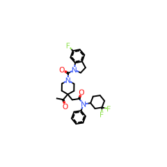 CC(=O)C1(CC(=O)N(c2ccccc2)C2CCCC(F)(F)C2)CCN(C(=O)N2CCc3ccc(F)cc32)CC1